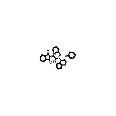 O=C1c2ccccc2C(=O)N1CC(=O)N(Cc1ccccn1)[C@@H]1c2ccccc2CC[C@H]1Cc1ccccc1